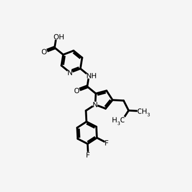 CC(C)Cc1cc(C(=O)Nc2ccc(C(=O)O)cn2)n(Cc2ccc(F)c(F)c2)c1